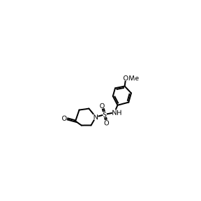 COc1ccc(NS(=O)(=O)N2CCC(=O)CC2)cc1